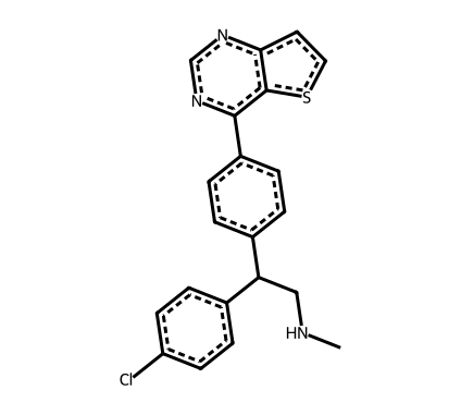 CNCC(c1ccc(Cl)cc1)c1ccc(-c2ncnc3ccsc23)cc1